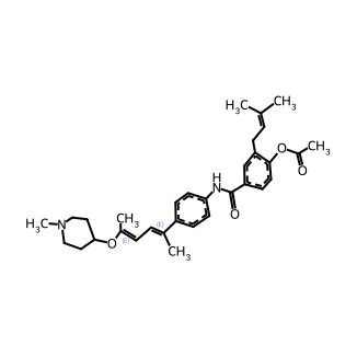 CC(=O)Oc1ccc(C(=O)Nc2ccc(/C(C)=C/C=C(\C)OC3CCN(C)CC3)cc2)cc1CC=C(C)C